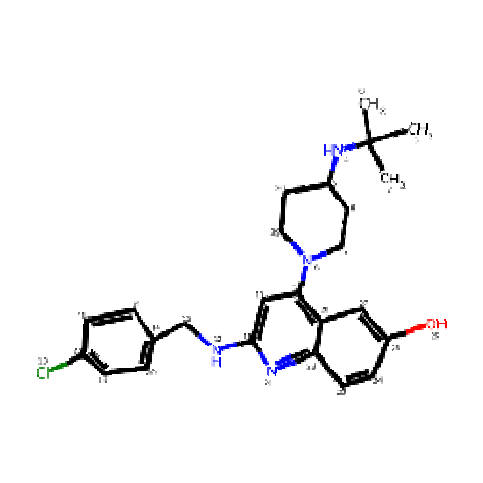 CC(C)(C)NC1CCN(c2cc(NCc3ccc(Cl)cc3)nc3ccc(O)cc23)CC1